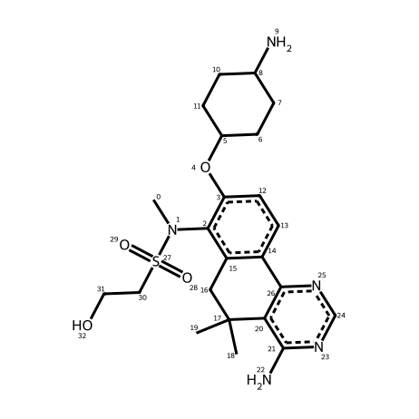 CN(c1c(OC2CCC(N)CC2)ccc2c1CC(C)(C)c1c(N)ncnc1-2)S(=O)(=O)CCO